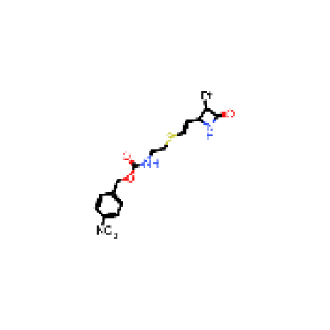 CCC1C(=O)NC1C=CSCCNC(=O)OCc1ccc([N+](=O)[O-])cc1